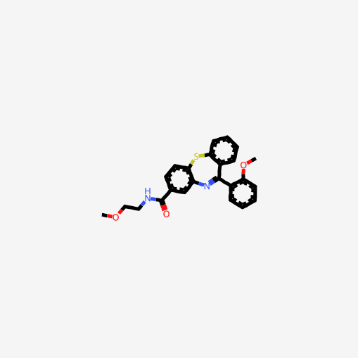 COCCNC(=O)c1ccc2c(c1)N=C(c1ccccc1OC)c1ccccc1S2